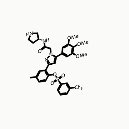 COc1cc(-c2cc(-c3cc(C)ccc3OS(=O)(=O)c3cccc(C(F)(F)F)c3)nn2CC(=O)N[C@@H]2CCNC2)cc(OC)c1OC